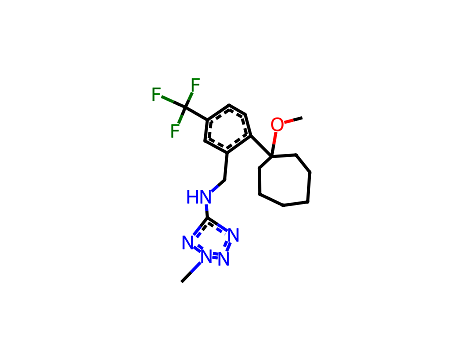 COC1(c2ccc(C(F)(F)F)cc2CNc2nnn(C)n2)CCCCCC1